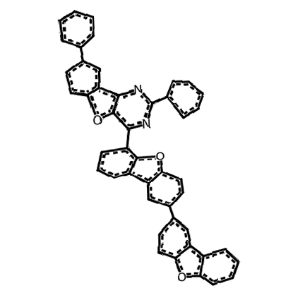 c1ccc(-c2ccc3oc4c(-c5cccc6c5oc5ccc(-c7ccc8oc9ccccc9c8c7)cc56)nc(-c5ccccc5)nc4c3c2)cc1